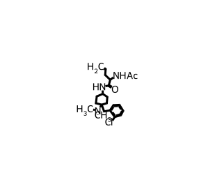 C=CCC(NC(C)=O)C(=O)NC1CCC(Cc2ccccc2Cl)(N(C)C)CC1